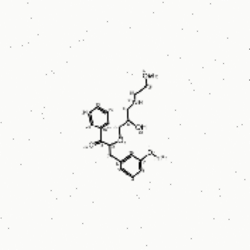 CCCOc1cccc(CC(OCC(O)CNCCOC)C(=O)c2ccccc2)c1